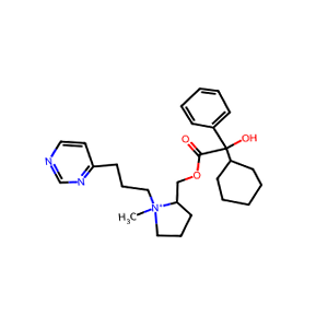 C[N+]1(CCCc2ccncn2)CCCC1COC(=O)C(O)(c1ccccc1)C1CCCCC1